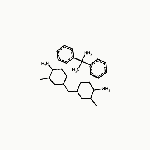 CC1CC(CC2CCC(N)C(C)C2)CCC1N.NC(N)(c1ccccc1)c1ccccc1